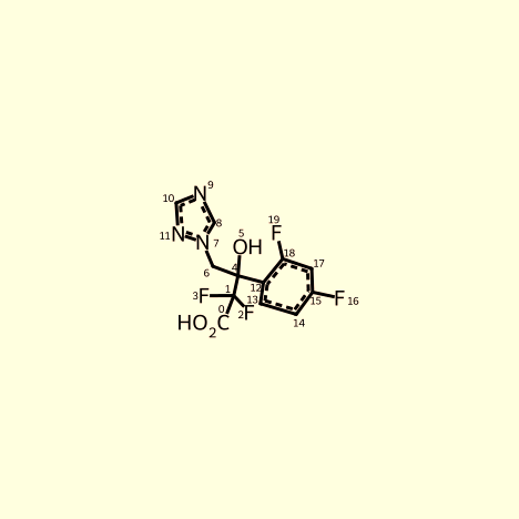 O=C(O)C(F)(F)C(O)(Cn1cncn1)c1ccc(F)cc1F